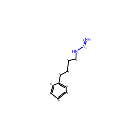 N=NNCCCCc1ccccc1